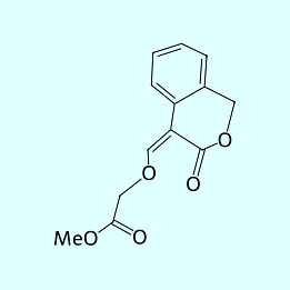 COC(=O)CO/C=C1\C(=O)OCc2ccccc21